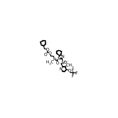 Cc1c(OCC(F)(F)F)ccnc1C[S@@+]([O-])c1nc2ccccc2n1C(=O)N(C)CCOC(=O)OCc1ccccc1